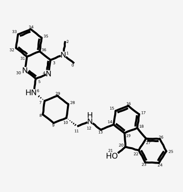 CN(C)c1nc(N[C@H]2CC[C@@H](CNCc3cccc4c3C(O)c3ccccc3-4)CC2)nc2ccccc12